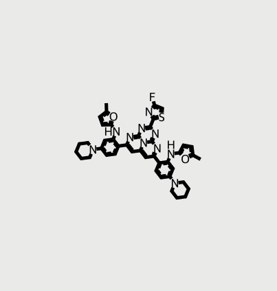 Cc1ccc(Nc2cc(N3CCCCC3)ccc2C2=CC3=CC(c4ccc(N5CCCCC5)cc4Nc4ccc(C)o4)=NC4=NC(c5nc(F)cs5)=NC(=N2)N34)o1